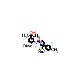 COc1ccc(C(C)(C)O)cc1NC(=O)N1CCC(c2ccc(C)c(F)c2)(c2ncns2)C1